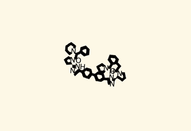 O=C(Cc1ccccc1CN1CCCC1)N1CCC[C@H]1c1ncc(-c2ccc(-c3ccc(-c4cnc([C@@H]5CCCN5C(=O)[C@@H](c5ccccc5)N5CCCCC5)[nH]4)cc3)cc2)[nH]1